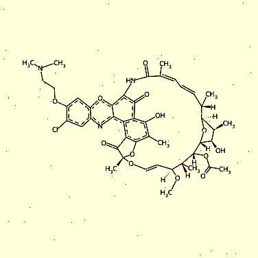 CO[C@H]1/C=C/O[C@@]2(C)Oc3c(C)c(O)c4c(=O)c(c5oc6cc(OCCN(C)C)c(Cl)cc6nc-5c4c3C2=O)NC(=O)/C(C)=C\C=C\[C@H](C)[C@@H]2O[C@H]([C@H](O)[C@@H]2C)[C@H](OC(C)=O)[C@@H]1C